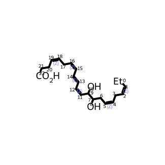 CC/C=C\C/C=C\CC(O)C(O)\C=C/C=C/C=C\C/C=C\CCC(=O)O